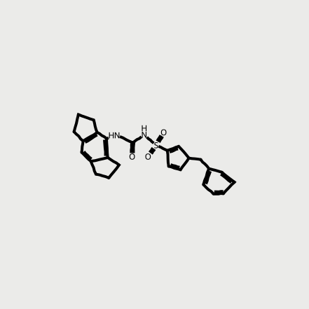 O=C(Nc1c2c(cc3c1CCC3)CCC2)NS(=O)(=O)C1=CC(Cc2ccccc2)C=C1